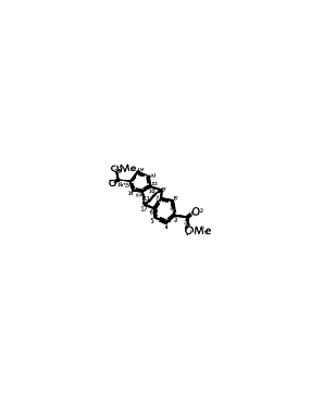 COC(=O)c1ccc2c(c1)C1CCC2c2cc(C(=O)OC)ccc21